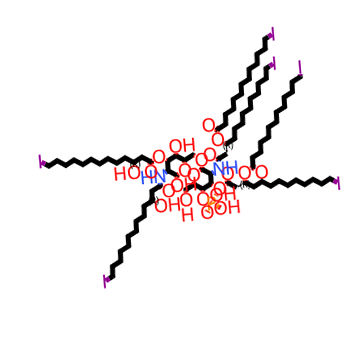 O=C(C[C@H](O)CCCCCCCCCCI)NC1C(O)OC(COC2OC(CO)C(OP(=O)(O)O)C(OC(=O)C[C@@H](CCCCCCCCCCI)OC(=O)CCCCCCCCCCCCI)C2NC(=O)C[C@@H](CCCCCCCCCCI)OC(=O)CCCCCCCCCCCCI)C(O)C1OC(=O)C[C@H](O)CCCCCCCCCCI